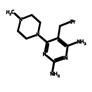 CC(C)Cc1c(N)nc(N)nc1N1CCN(C)CC1